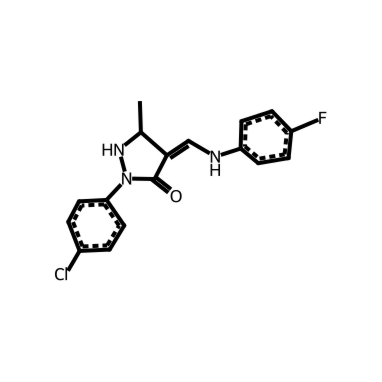 CC1NN(c2ccc(Cl)cc2)C(=O)C1=CNc1ccc(F)cc1